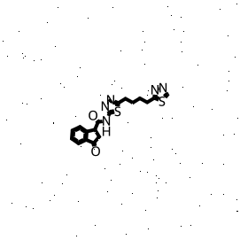 O=C1CC(C(=O)Nc2nnc(CCCCc3nncs3)s2)c2ccccc21